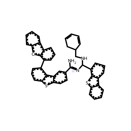 N/C(=N\C(NCC1C=CC=CC1)c1cccc2c1sc1ccccc12)c1ccc2sc3cccc(-c4cccc5c4oc4ccccc45)c3c2c1